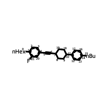 CCCCCCc1ccc(C#CC2CCC(c3ccc(CCCC)cc3)CC2)cc1F